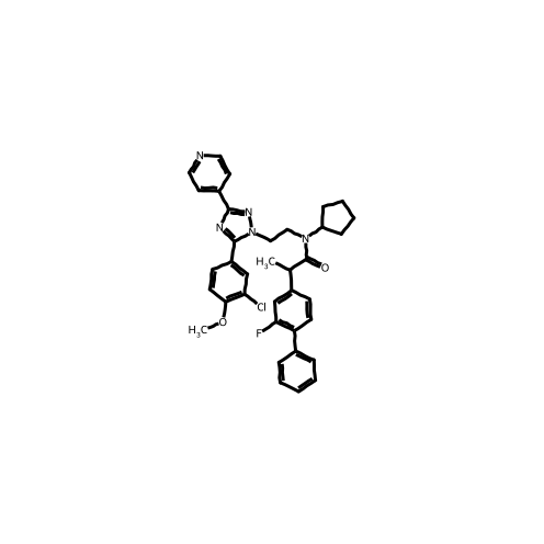 COc1ccc(-c2nc(-c3ccncc3)nn2CCN(C(=O)C(C)c2ccc(-c3ccccc3)c(F)c2)C2CCCC2)cc1Cl